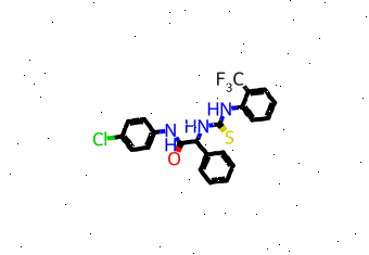 O=C(Nc1ccc(Cl)cc1)C(NC(=S)Nc1ccccc1C(F)(F)F)c1ccccc1